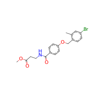 COC(=O)CCNC(=O)c1ccc(OCc2ccc(Br)cc2C)cc1